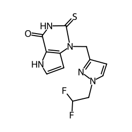 O=c1[nH]c(=S)n(Cc2ccn(CC(F)F)n2)c2cc[nH]c12